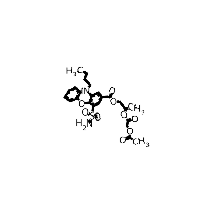 CCCCNc1cc(C(=O)OCC(C)OC(=O)COC(C)=O)cc(S(N)(=O)=O)c1Oc1ccccc1